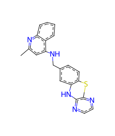 Cc1cc(NCc2ccc3c(c2)Nc2nccnc2S3)c2ccccc2n1